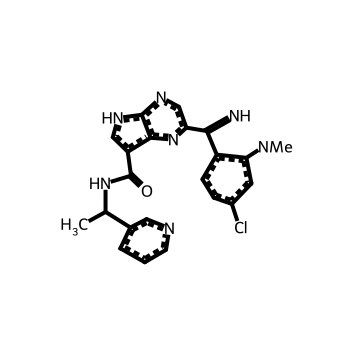 CNc1cc(Cl)ccc1C(=N)c1cnc2[nH]cc(C(=O)NC(C)c3cccnc3)c2n1